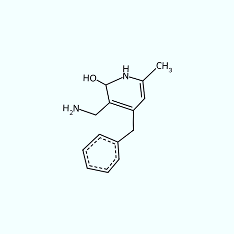 CC1=CC(Cc2ccccc2)=C(CN)C(O)N1